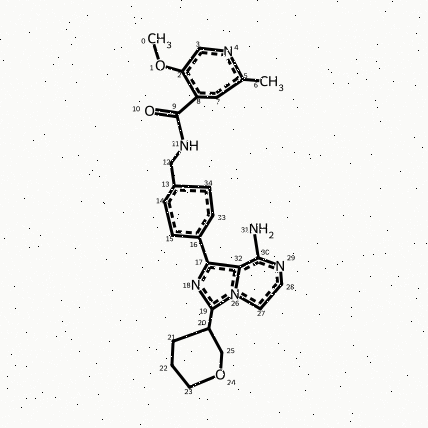 COc1cnc(C)cc1C(=O)NCc1ccc(-c2nc(C3CCCOC3)n3ccnc(N)c23)cc1